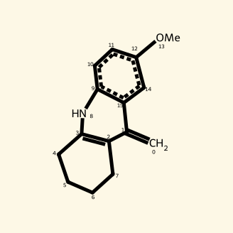 C=C1C2=C(CCCC2)Nc2ccc(OC)cc21